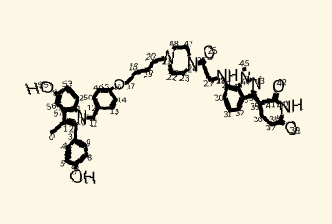 Cc1c(-c2ccc(O)cc2)n(Cc2ccc(OCCCCN3CCN(C(=O)CNc4cccc5c(C6CCC(=O)NC6=O)nn(C)c45)CC3)cc2)c2ccc(O)cc12